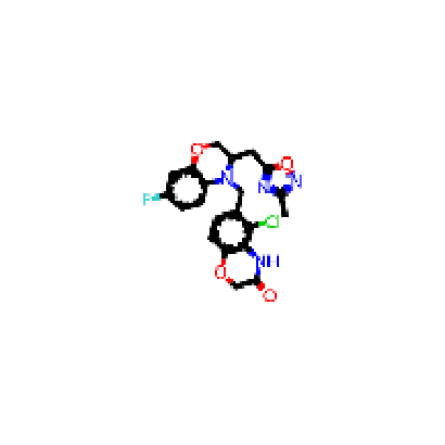 Cc1noc(CC2COc3cc(F)ccc3N2Cc2ccc3c(c2Cl)NC(=O)CO3)n1